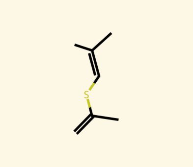 C=C(C)SC=C(C)C